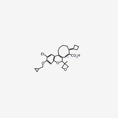 CCc1cc2c(cc1OCC1CC1)OC(C1(C)COC1)C1=C2CCCCC(=C2CCC2)/C(C(=O)O)=C\1